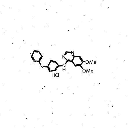 COc1cc2ncnc(Nc3ccc(Sc4ccccc4)cc3)c2cc1OC.Cl